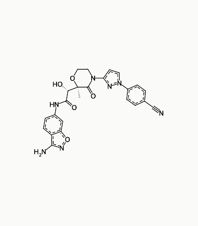 C[C@]1([C@@H](O)C(=O)Nc2ccc3c(N)noc3c2)OCCN(c2ccn(-c3ccc(C#N)cc3)n2)C1=O